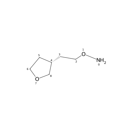 NOCC[C@H]1CCOC1